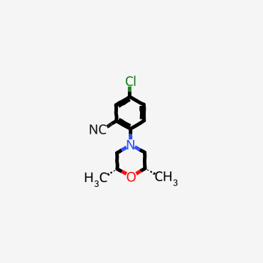 C[C@@H]1CN(c2ccc(Cl)cc2C#N)C[C@H](C)O1